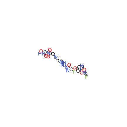 N#Cc1c(NS(=O)(=O)N2CC[C@@H](F)C2)ccc(F)c1Oc1ccc2ncn(-c3cnc(N4CCC5(CCN(c6ccc7c(c6)C(=O)N(C6CCC(=O)NC6=O)C7=O)CC5)CC4)nc3)c(=O)c2c1